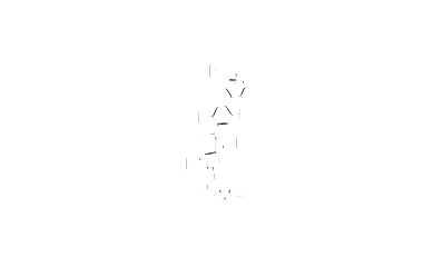 COCCC1CC(NC(C)c2cc(F)c(-c3ccnc(C(C)(C)C)c3)cc2F)=CN1